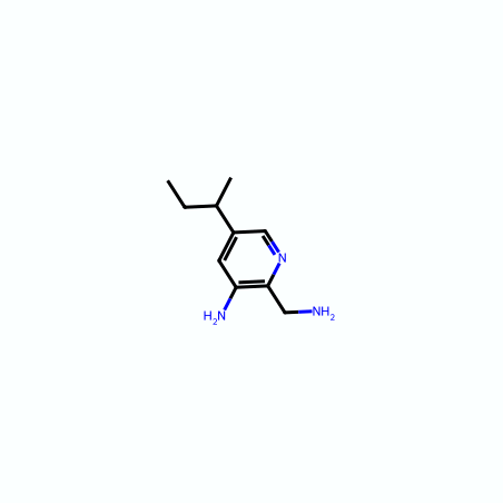 CCC(C)c1cnc(CN)c(N)c1